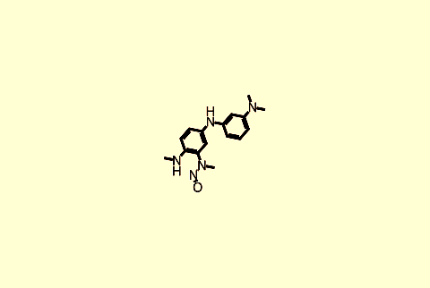 CNc1ccc(Nc2cccc(N(C)C)c2)cc1N(C)N=O